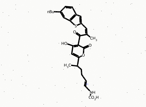 CCCCc1ccc2cc(C=C(C)C(=O)c3c(O)cc(C(C)CC/C=C/NC(=O)O)oc3=O)sc2c1